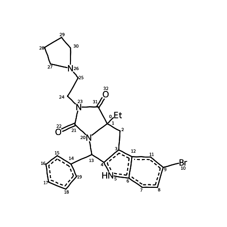 CCC12Cc3c([nH]c4ccc(Br)cc34)C(c3ccccc3)N1C(=O)N(CCN1CCCC1)C2=O